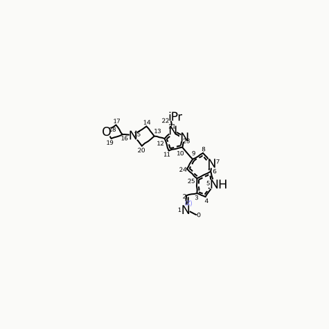 C/N=C\c1c[nH]c2ncc(-c3cc(C4CN(C5COC5)C4)n(C(C)C)n3)cc12